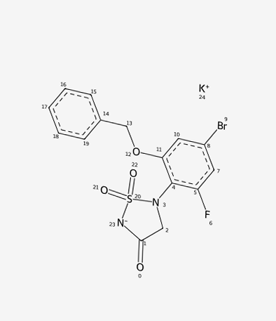 O=C1CN(c2c(F)cc(Br)cc2OCc2ccccc2)S(=O)(=O)[N-]1.[K+]